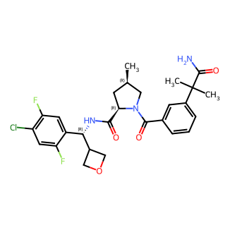 C[C@@H]1C[C@H](C(=O)N[C@@H](c2cc(F)c(Cl)cc2F)C2COC2)N(C(=O)c2cccc(C(C)(C)C(N)=O)c2)C1